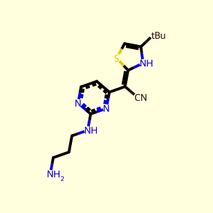 CC(C)(C)C1=CS/C(=C(/C#N)c2ccnc(NCCCN)n2)N1